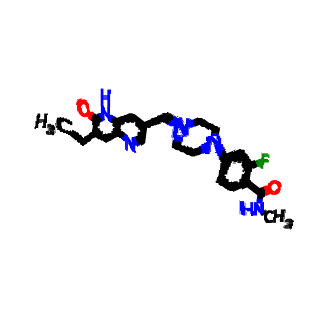 CCc1cc2ncc(CN3CCN(c4ccc(C(=O)NC)c(F)c4)CC3)cc2[nH]c1=O